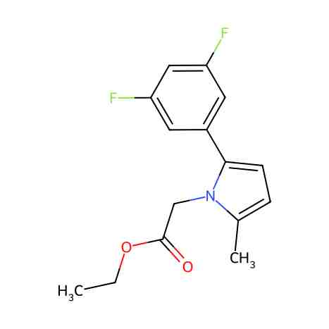 CCOC(=O)Cn1c(C)ccc1-c1cc(F)cc(F)c1